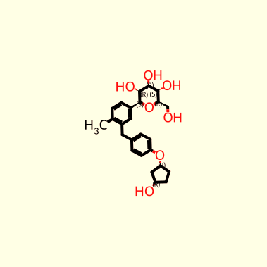 Cc1ccc([C@@H]2O[C@H](CO)[C@@H](O)[C@H](O)[C@H]2O)cc1Cc1ccc(O[C@@H]2CC[C@@H](O)C2)cc1